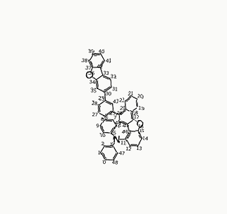 c1ccc(N(c2ccccc2)c2cccc3oc4c5ccccc5c(-c5cccc(-c6ccc7c(c6)oc6ccccc67)c5)cc4c23)cc1